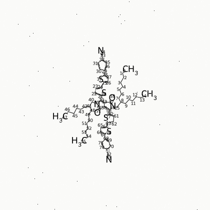 CCCCCCCCC(CCCCCC)CN1C(=O)C2=C(c3ccc(-c4ccc(-c5ccc(C#N)cc5)s4)s3)N(CC(CCCCCC)CCCCCCCC)C(=O)C2=C1C1=CCC(c2ccc(C3=CCC(C#N)C=C3)s2)S1